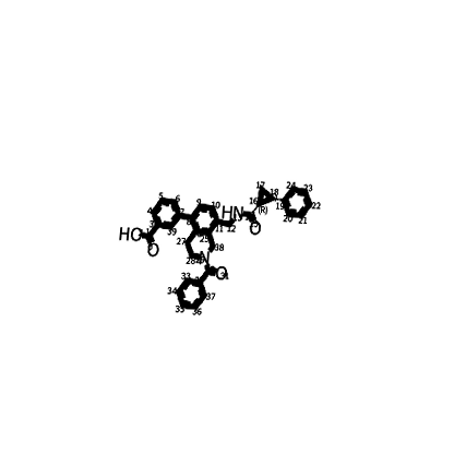 O=C(O)c1cccc(-c2ccc(CNC(=O)[C@@H]3C[C@@H]3c3ccccc3)c3c2CCN(C(=O)c2ccccc2)C3)c1